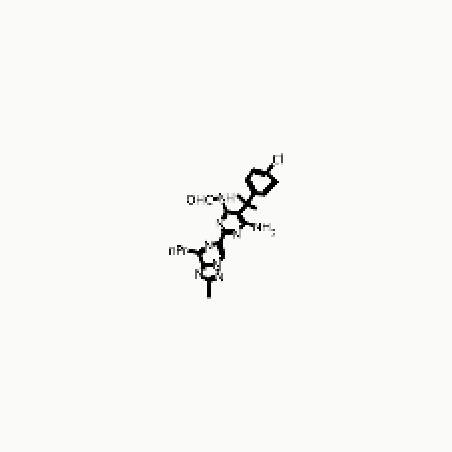 CCCc1nc(-c2nc(N)c(C(C)(C)c3ccc(Cl)cc3)c(NC=O)n2)cn2nc(C)nc12